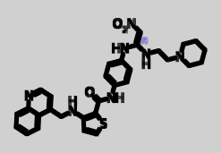 O=C(Nc1ccc(N/C(=C\[N+](=O)[O-])NCCN2CCCCC2)cc1)c1sccc1NCc1ccnc2ccccc12